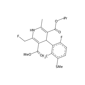 COC(=O)C1=C(CF)NC(C)=C(C(=O)OC(C)C)C1c1c(F)ccc(SC)c1C(F)(F)F